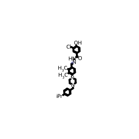 Cc1c(/C=N/NC(=O)c2ccc(O)c(Cl)c2)ccc(N2CCN(Cc3ccc(C(C)C)cc3)CC2)c1C